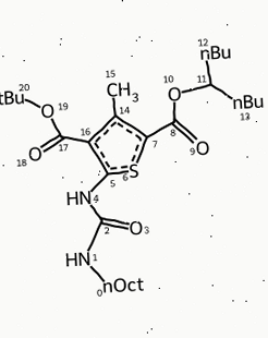 CCCCCCCCNC(=O)Nc1sc(C(=O)OC(CCCC)CCCC)c(C)c1C(=O)OC(C)(C)C